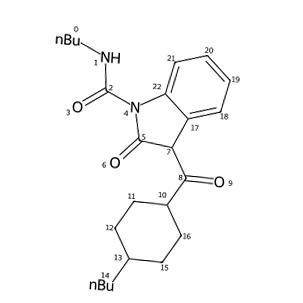 CCCCNC(=O)N1C(=O)C(C(=O)C2CCC(CCCC)CC2)c2ccccc21